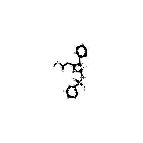 COC(=O)Cc1nc(NS(=O)(=O)c2ccccc2)sc1-c1ccccc1